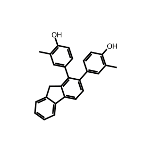 Cc1cc(-c2ccc3c(c2-c2ccc(O)c(C)c2)Cc2ccccc2-3)ccc1O